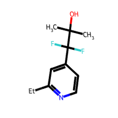 CCc1cc(C(F)(F)C(C)(C)O)ccn1